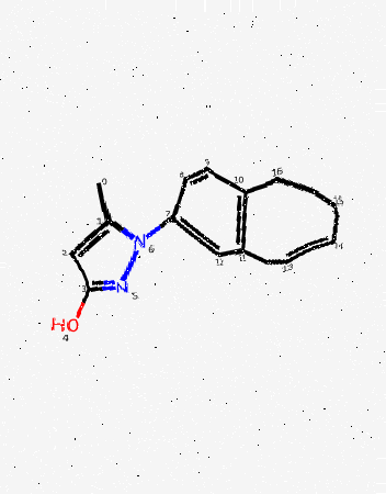 Cc1cc(O)nn1-c1ccc2c(c1)C=CCC2